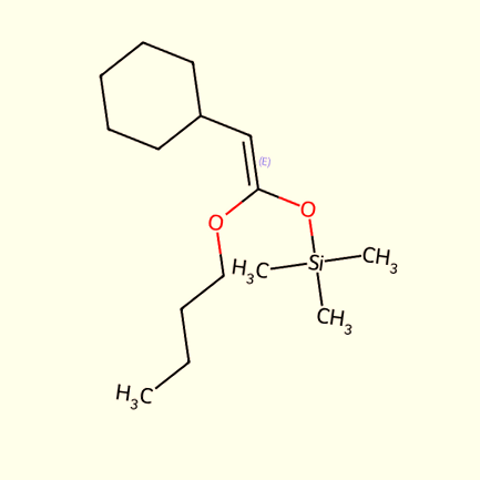 CCCCO/C(=C\C1CCCCC1)O[Si](C)(C)C